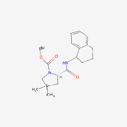 CC(C)(C)OC(=O)N1C[Si](C)(C)C[C@H]1C(=O)NC1CCCc2ccccc21